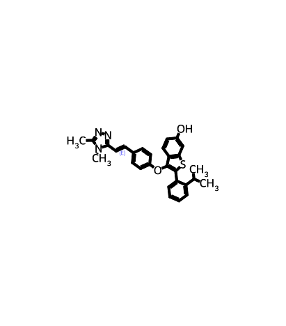 Cc1nnc(/C=C/c2ccc(Oc3c(-c4ccccc4C(C)C)sc4cc(O)ccc34)cc2)n1C